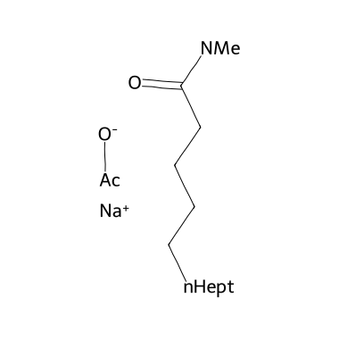 CC(=O)[O-].CCCCCCCCCCCC(=O)NC.[Na+]